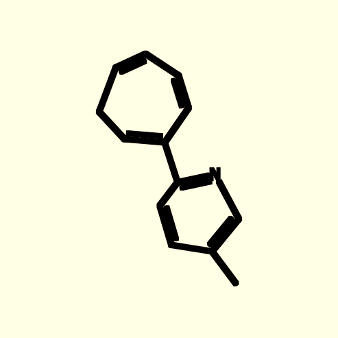 Cc1ccc(C2=CCC=CC=C2)nc1